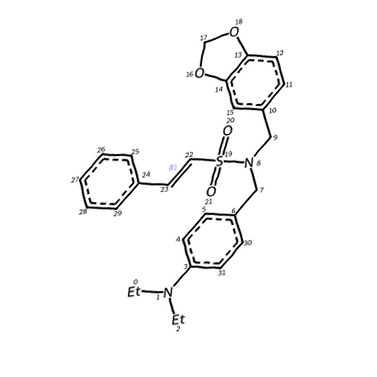 CCN(CC)c1ccc(CN(Cc2ccc3c(c2)OCO3)S(=O)(=O)/C=C/c2ccccc2)cc1